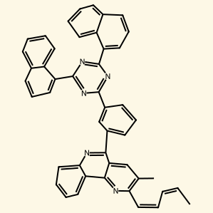 C/C=C\C=C/c1nc2c(cc1C)c(-c1cccc(-c3nc(-c4cccc5ccccc45)nc(-c4cccc5ccccc45)n3)c1)nc1ccccc12